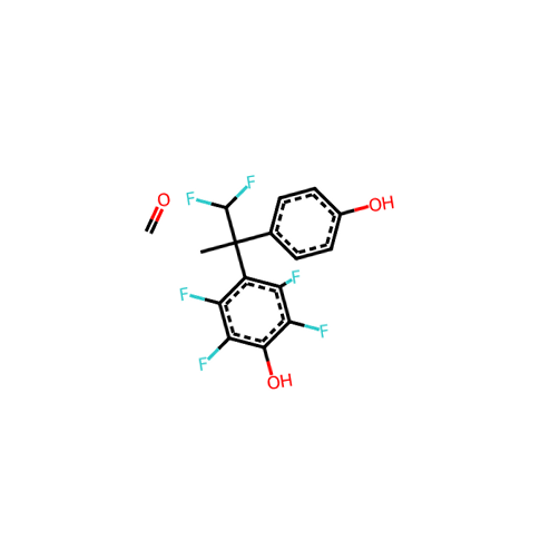 C=O.CC(c1ccc(O)cc1)(c1c(F)c(F)c(O)c(F)c1F)C(F)F